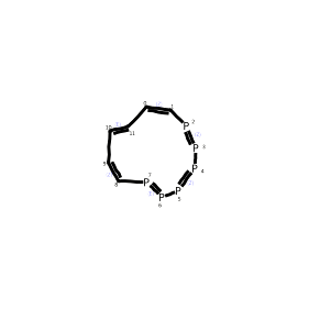 C1=C\P=P/P=P\P=P\C=C/C=C/1